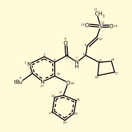 CC(C)(C)c1ncc(C(=O)NC(/C=C/S(C)(=O)=O)C2CCC2)c(Oc2ccccc2)n1